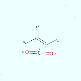 CC=C(C)C.O=C=O